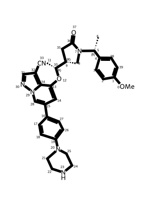 COc1ccc([C@@H](C)N2C[C@H]([C@@H](C)Oc3cc(-c4ccc(N5CCNCC5)cc4)cn4ncc(C#N)c34)CC2=O)cc1